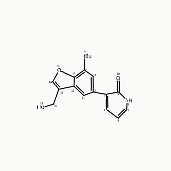 CC(C)(C)c1cc(-c2ccc[nH]c2=O)cc2c(CO)coc12